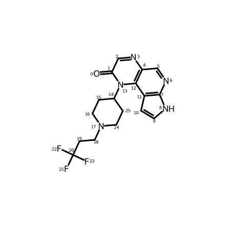 O=c1cnc2cnc3[nH]ccc3c2n1C1CCN(CCC(F)(F)F)CC1